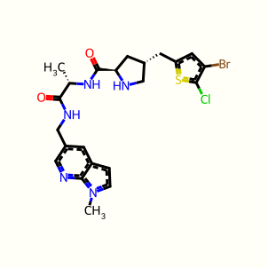 C[C@H](NC(=O)[C@H]1C[C@H](Cc2cc(Br)c(Cl)s2)CN1)C(=O)NCc1cnc2c(ccn2C)c1